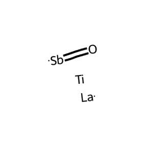 [La].[O]=[Sb].[Ti]